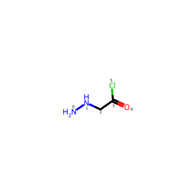 NNCC(=O)Cl